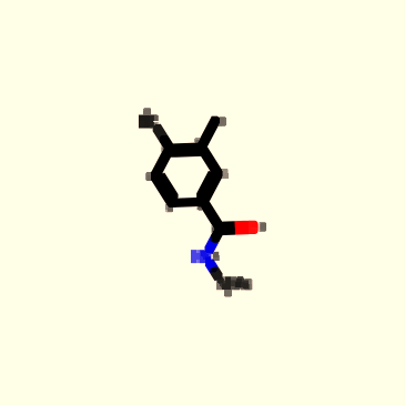 CC(=O)NNC(=O)c1ccc(C#N)c(C)c1